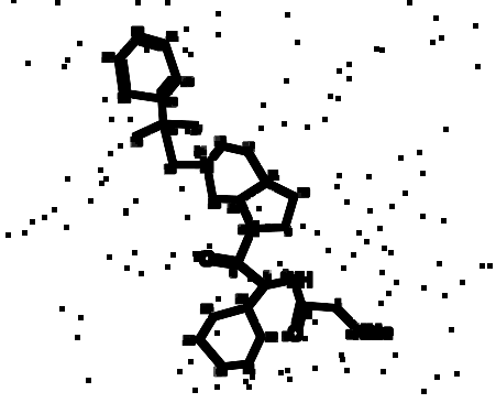 CNCC(=O)NC(C(=O)N1CCC2CCN(CC(C)(C)c3ccccc3)CC21)C1CCCCC1